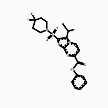 CC(C)c1c(S(=O)(=O)N2CCC(F)(F)CC2)nc2nc(C(=O)Nc3ccccc3)ccn12